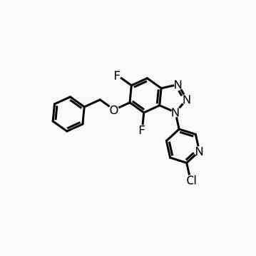 Fc1cc2nnn(-c3ccc(Cl)nc3)c2c(F)c1OCc1ccccc1